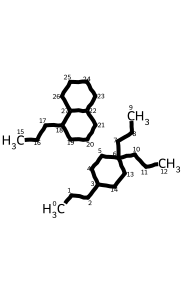 CCCC1CCC(CCC)(CCC)CC1.CCCC1CCCC2CCCCC12